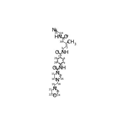 CC(CCNC(=O)c1ccc(NC(=O)N2CCN(CCN3CCOCC3)CC2)cc1)CC(=O)NCC#N